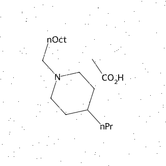 CC(=O)O.CCCCCCCCCN1CCC(CCC)CC1